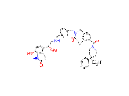 O=C(c1ccc(CN(Cc2ccc(CNC[C@H](O)c3ccc(O)c4[nH]c(=O)ccc34)cc2)C(=O)C2CC2)cc1)N1CCC(C(=O)O)(c2ccccc2)CC1